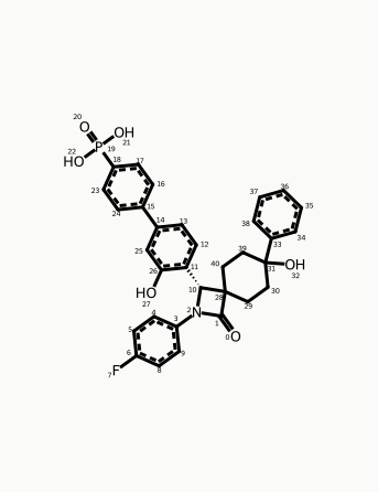 O=C1N(c2ccc(F)cc2)[C@H](c2ccc(-c3ccc(P(=O)(O)O)cc3)cc2O)C12CCC(O)(c1ccccc1)CC2